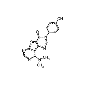 CN(C)c1ncnc2sc3c(=O)n(-c4ccc(O)cc4)cnc3c12